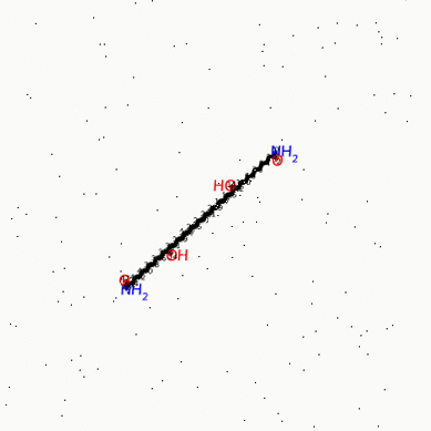 NC(=O)CCCCCCCCCCC(O)CCCCCCCCCCCCCCCCCCC(O)CCCCCCCCCCC(N)=O